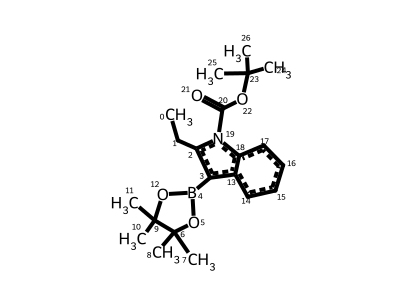 CCc1c(B2OC(C)(C)C(C)(C)O2)c2ccccc2n1C(=O)OC(C)(C)C